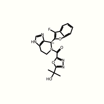 CC(C)(O)c1nnc(C(=O)N2CCc3[nH]cnc3[C@H]2c2oc3ccccc3c2F)o1